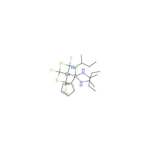 CCC(C)[NH][Zr]([NH]C(C)CC)([NH]C(C)CC)([C]1=CC=CC1)[Ge]([C](F)(F)F)([C](F)(F)F)[C](F)(F)F